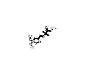 CCO[Si](CCCSC(C)(C)C(=O)OC(C)(C)C)(OCC)OCC